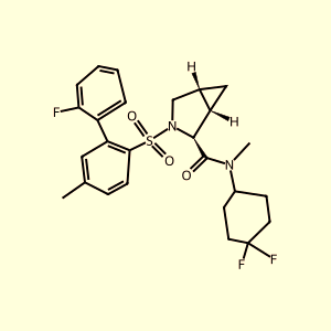 Cc1ccc(S(=O)(=O)N2C[C@@H]3C[C@@H]3[C@H]2C(=O)N(C)C2CCC(F)(F)CC2)c(-c2ccccc2F)c1